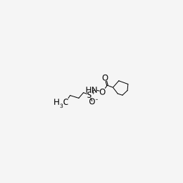 CCCC[S+]([O-])NOC(=O)C1CCCCC1